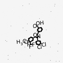 COc1ccc(-c2oc(-c3cccc(C(=O)O)c3)nc2-c2ccc(Cl)c(Cl)c2)cc1C(F)(F)F